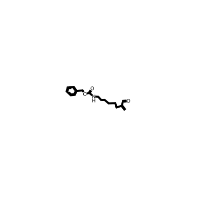 C=C(C=O)CCCCCCNC(=O)OCc1ccccc1